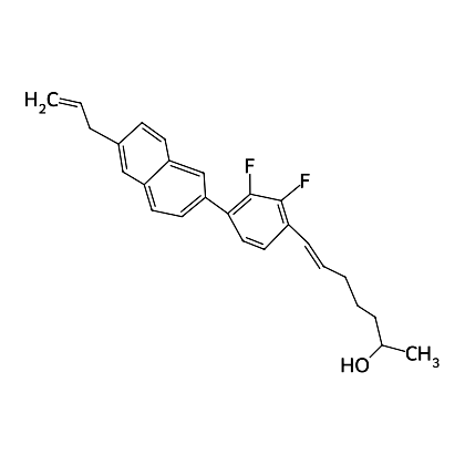 C=CCc1ccc2cc(-c3ccc(C=CCCCC(C)O)c(F)c3F)ccc2c1